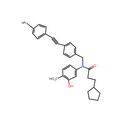 CCCc1ccc(C#Cc2ccc(CN(C(=O)CCC3CCCC3)c3ccc(C(=O)O)c(O)c3)cc2)cc1